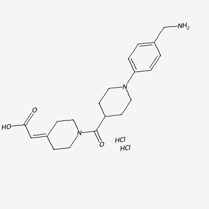 Cl.Cl.NCc1ccc(N2CCC(C(=O)N3CCC(=CC(=O)O)CC3)CC2)cc1